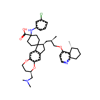 C[C@@H](COc1ccnc2c1[C@H](C)CCC2)C[C@H]1Cc2cc3c(cc2C12CCC(Nc1cccc(Cl)c1)(C(=O)O)CC2)OCC[C@H](CN(C)C)O3